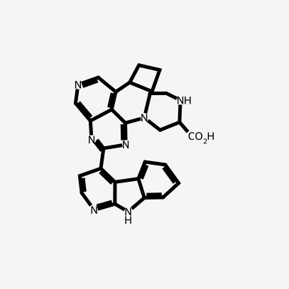 O=C(O)C1CN(c2nc(-c3ccnc4[nH]c5ccccc5c34)nc3cncc(C4CCC4)c23)CCN1